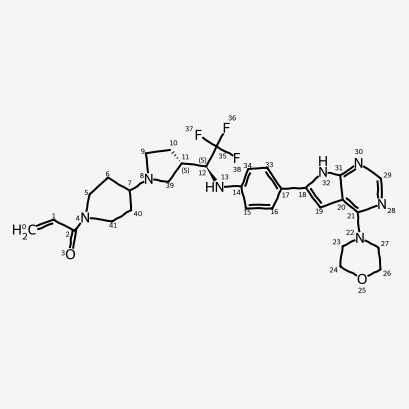 C=CC(=O)N1CCC(N2CC[C@H]([C@H](Nc3ccc(-c4cc5c(N6CCOCC6)ncnc5[nH]4)cc3)C(F)(F)F)C2)CC1